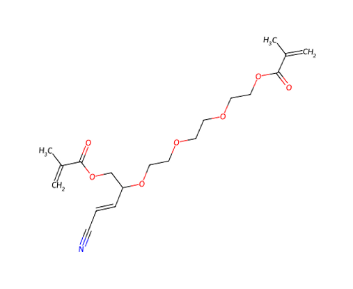 C=C(C)C(=O)OCCOCCOCCOC(C=CC#N)COC(=O)C(=C)C